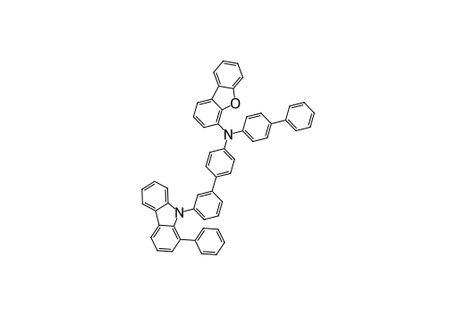 c1ccc(-c2ccc(N(c3ccc(-c4cccc(-n5c6ccccc6c6cccc(-c7ccccc7)c65)c4)cc3)c3cccc4c3oc3ccccc34)cc2)cc1